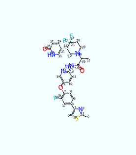 Cc1nc(-c2ccc(Oc3ccc(NC(=O)C(C)N4CCC(F)(F)[C@@H](c5ccc(=O)[nH]c5)C4)nc3)c(F)c2)cs1